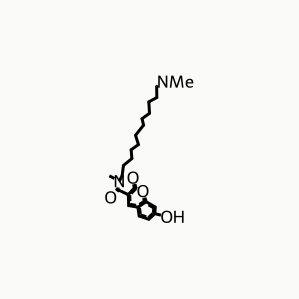 CNCCCCCCCCCCCCN(C)C(=O)c1cc2ccc(O)cc2oc1=O